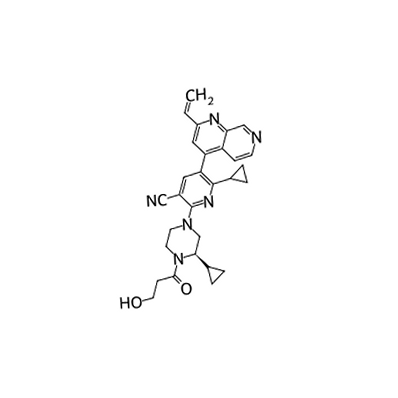 C=Cc1cc(-c2cc(C#N)c(N3CCN(C(=O)CCO)[C@H](C4CC4)C3)nc2C2CC2)c2ccncc2n1